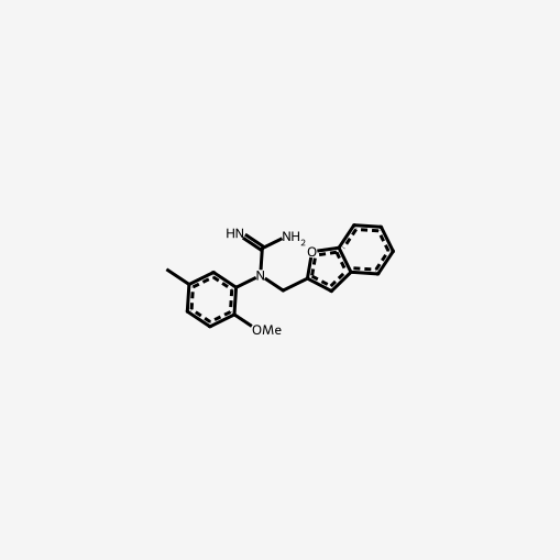 COc1ccc(C)cc1N(Cc1cc2ccccc2o1)C(=N)N